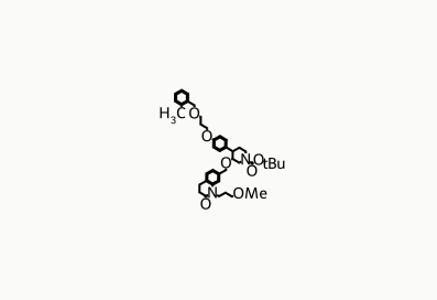 COCCCN1C(=O)CCc2ccc(COC3CN(C(=O)OC(C)(C)C)CCC3c3ccc(OCCCOCc4ccccc4C)cc3)cc21